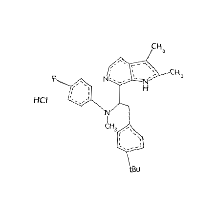 Cc1[nH]c2c(C(Cc3ccc(C(C)(C)C)cc3)N(C)c3ccc(F)cc3)nccc2c1C.Cl